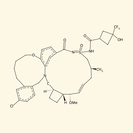 CO[C@H]1/C=C/C[C@H](C)CS(=O)(NC(=O)C2CC(O)(C(F)(F)F)C2)=NC(=O)c2ccc3c(c2)N(Cc2ccc(Cl)cc2CCCCO3)C[C@@H]2CC[C@H]21